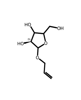 C=CCOC1OC(CO)C(O)[C@@H]1O